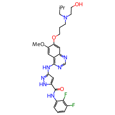 COc1cc2c(Nc3cc(C(=O)Nc4cccc(F)c4F)[nH]n3)ncnc2cc1OCCCN(CCO)CC(C)C